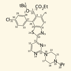 CCOC(=O)[C@@H](OC(C)(C)C)c1c(C)cc2nc(-c3ccnc(N4CCN(C(C)C)CC4)n3)sc2c1-c1ccc(Cl)cc1